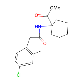 COC(=O)C1(NC(=O)Cc2ccc(Cl)cc2C)CCCCC1